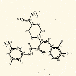 Cc1nc(N)nc(NC(C)c2cc3ccc(F)c(C)c3nc2N2CCC(C(N)=O)CC2)n1